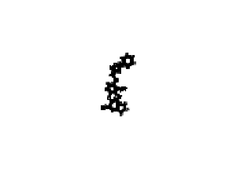 CC(C)c1cc(Oc2c(Br)cc3c(c2Br)CCC3)ccc1OCc1noc(-c2ccccc2)n1